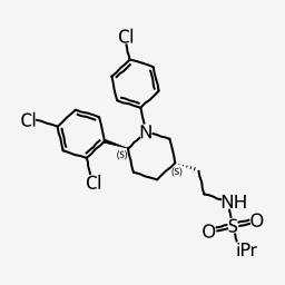 CC(C)S(=O)(=O)NCC[C@@H]1CC[C@@H](c2ccc(Cl)cc2Cl)N(c2ccc(Cl)cc2)C1